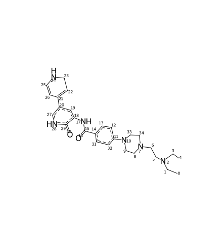 CCN(CC)CCN1CCN(c2ccc(C(=O)Nc3cc(C4=CCNC=C4)c[nH]c3=O)cc2)CC1